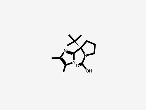 CC(C)(C)[C@]1(c2nc(I)c(I)[nH]2)CCCN1C(=O)O